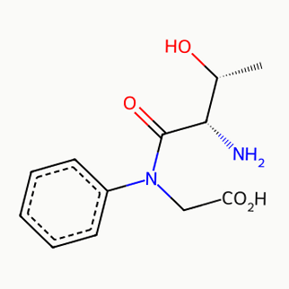 C[C@@H](O)[C@H](N)C(=O)N(CC(=O)O)c1ccccc1